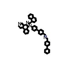 C(=N\Cc1ccc(-c2ccccc2)cc1)/c1ccc(-c2ccc(-n3c(-c4cccc5ccccc45)nc4c5cnccc5c5ccccc5c43)cc2)cc1